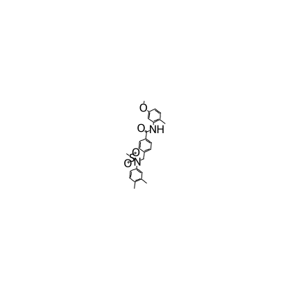 COc1ccc(C)c(NC(=O)c2ccc(CN(c3ccc(C)c(C)c3)S(C)(=O)=O)cc2)c1